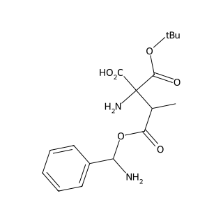 CC(C(=O)OC(N)c1ccccc1)C(N)(C(=O)O)C(=O)OC(C)(C)C